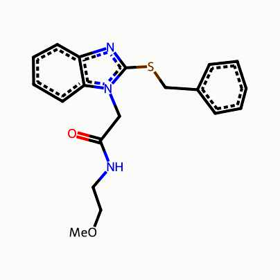 COCCNC(=O)Cn1c(SCc2ccccc2)nc2ccccc21